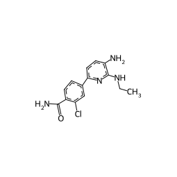 CCNc1nc(-c2ccc(C(N)=O)c(Cl)c2)ccc1N